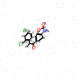 CC(C(=O)c1ccc2c(c1)oc(=O)n2C)c1ccc(Br)cc1Cl